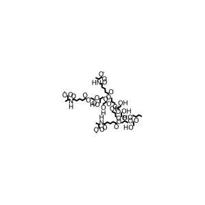 CCC(CO)OC(CO)OCC(COC(=O)CCCC(=O)NC(C)C(=O)OC)OC(CO)OCC(CO)OC(CO)OCC(COC(=O)CCCC(=O)NC(C)C(=O)OC)OC(CO)OCC(CO)OC(COC(=O)CCCC(=O)NC(C)C(=O)OC)OC